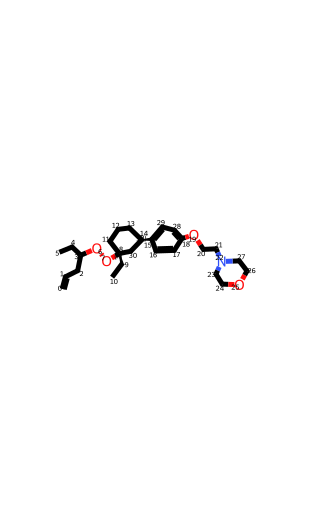 C=CCC(CC)OO[C@]1(CC)CCC[C@@H](c2ccc(OCCN3CCOCC3)cc2)C1